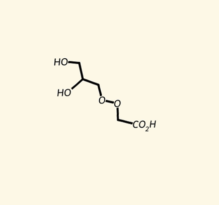 O=C(O)COOCC(O)CO